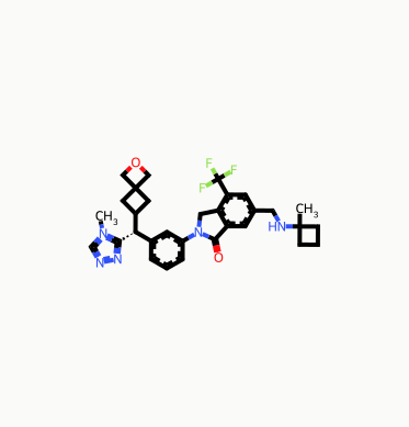 Cn1cnnc1[C@@H](c1cccc(N2Cc3c(cc(CNC4(C)CCC4)cc3C(F)(F)F)C2=O)c1)C1CC2(COC2)C1